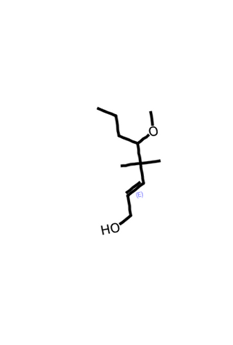 CCCC(OC)C(C)(C)/C=C/CO